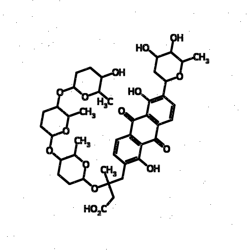 CC1OC(OC2CCC(OC3CCC(OC(C)(CC(=O)O)Cc4ccc5c(c4O)C(=O)c4ccc(C6CC(O)C(O)C(C)O6)c(O)c4C5=O)OC3C)OC2C)CCC1O